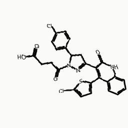 O=C(O)CCC(=O)N1N=C(c2c(-c3ccc(Cl)s3)c3ccccc3[nH]c2=O)CC1c1ccc(Cl)cc1